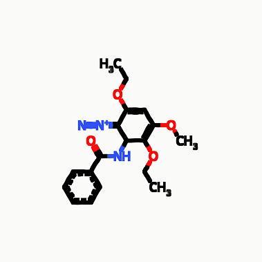 CCOC1=CC(OC)=C(OCC)C(NC(=O)c2ccccc2)C1=[N+]=[N-]